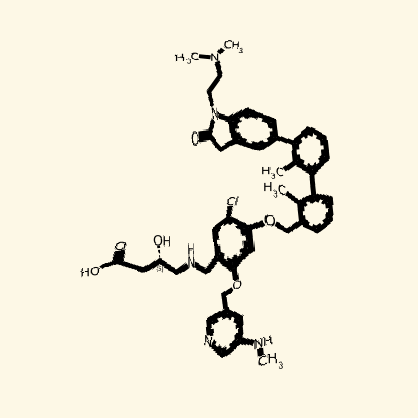 CNc1cncc(COc2cc(OCc3cccc(-c4cccc(-c5ccc6c(c5)CC(=O)N6CCN(C)C)c4C)c3C)c(Cl)cc2CNC[C@@H](O)CC(=O)O)c1